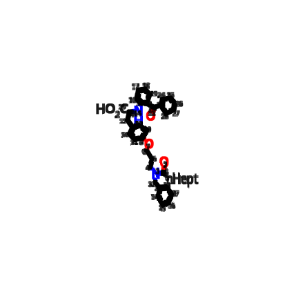 CCCCCCCC(=O)N(CCCOc1ccc(C[C@H](Nc2ccccc2C(=O)c2ccccc2)C(=O)O)cc1)Cc1ccccc1